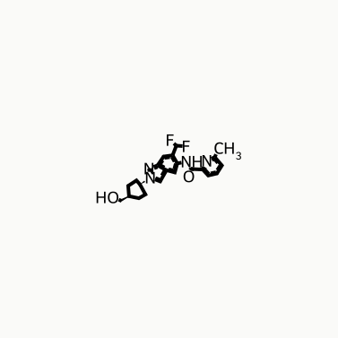 Cc1cccc(C(=O)Nc2cc3cn([C@H]4CC[C@H](CO)CC4)nc3cc2C(F)F)n1